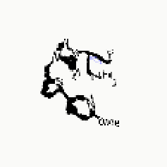 COc1ccc(-c2ccc(Cn3cnn(C/C(=C\F)CN)c3=O)s2)cn1